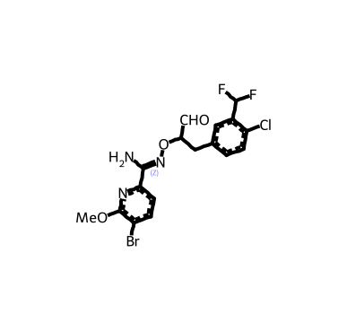 COc1nc(/C(N)=N/OC(C=O)Cc2ccc(Cl)c(C(F)F)c2)ccc1Br